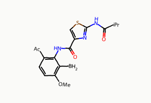 Bc1c(OC)ccc(C(C)=O)c1NC(=O)c1csc(NC(=O)C(C)C)n1